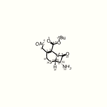 CC(=O)OCC1=C(C(=O)OC(C)(C)C)N2C(=O)[C@H](N)[C@@H]2SC1